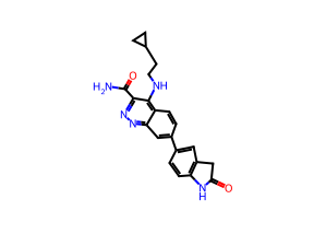 NC(=O)c1nnc2cc(-c3ccc4c(c3)CC(=O)N4)ccc2c1NCCC1CC1